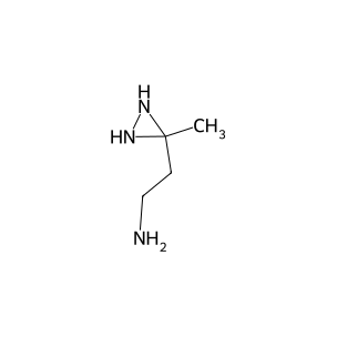 CC1(CCN)NN1